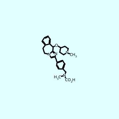 CN1CCC(OC2c3ccccc3CCn3cc(-c4ccc(CN(C)C(=O)O)cc4)nc32)CC1